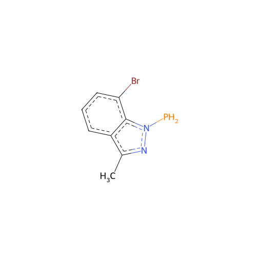 Cc1nn(P)c2c(Br)cccc12